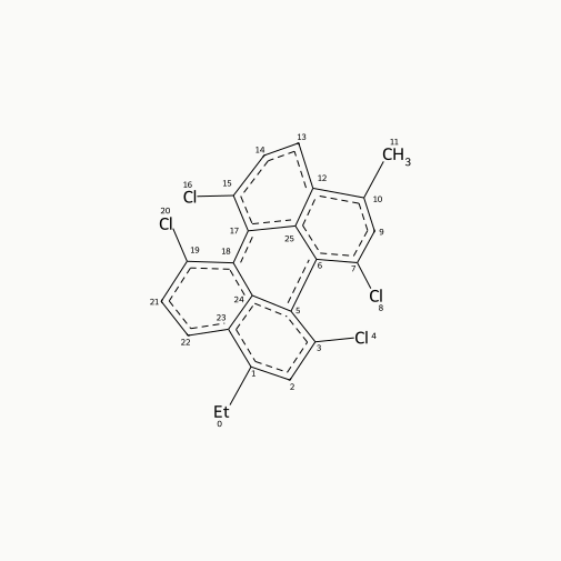 CCc1cc(Cl)c2c3c(Cl)cc(C)c4ccc(Cl)c(c5c(Cl)ccc1c52)c43